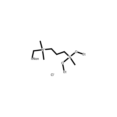 CCCCCCCCCC[N+](C)(C)CCC[Si](C)(OCC)OCC.[Cl-]